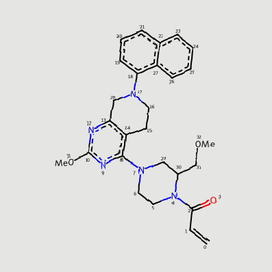 C=CC(=O)N1CCN(c2nc(OC)nc3c2CCN(c2cccc4ccccc24)C3)CC1COC